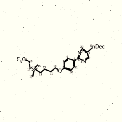 CCCCCCCCCCc1cnc(-c2ccc(OCCCC[Si](C)(C)CCC(F)(F)F)cc2)nc1